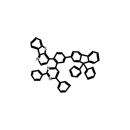 c1ccc(-c2cc(-c3cc(-c4ccc5c(c4)C(c4ccccc4)(c4ccccc4)c4ccccc4-5)ccc3-c3ccnc4c3sc3ccccc34)nc(-c3ccccc3)n2)cc1